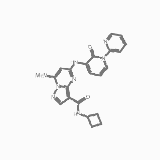 CNc1cc(Nc2cccn(-c3ccccn3)c2=O)nc2c(C(=O)NC3CCC3)cnn12